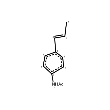 C/C=C/c1ccc(NC(C)=O)cc1